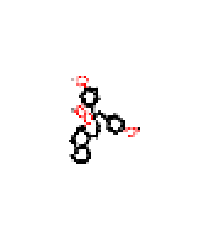 COc1ccc(CC2(c3ccc(OC)cc3OC)C=Cc3c(ccc4ccccc34)O2)cc1